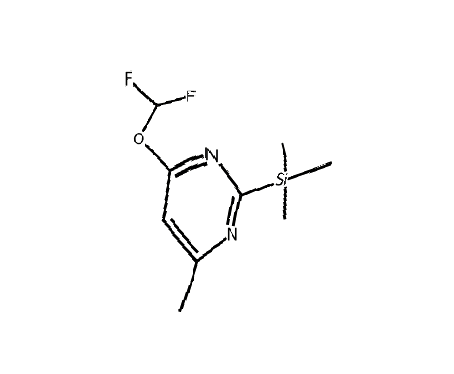 Cc1cc(OC(F)F)nc([Si](C)(C)C)n1